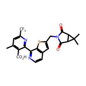 Cc1cc(C(F)(F)F)nc(-c2nccc3cc(CN4C(=O)C5C(C4=O)C5(C)C)sc23)c1C(=O)O